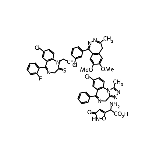 COc1cc2c(cc1OC)C(c1cccc(Cl)c1)=NN=C(C)C2.Cc1nnc2n1-c1ccc(Cl)cc1C(c1ccccc1)=NC2.Fc1ccccc1C1=NCC(=S)N(CC(F)(F)F)c2ccc(Cl)cc21.NC(C(=O)O)c1cc(=O)[nH]o1